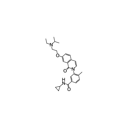 CCN(CCOc1ccc2ccn(-c3cc(C(=O)NC4CC4)ccc3C)c(=O)c2c1)C(C)C